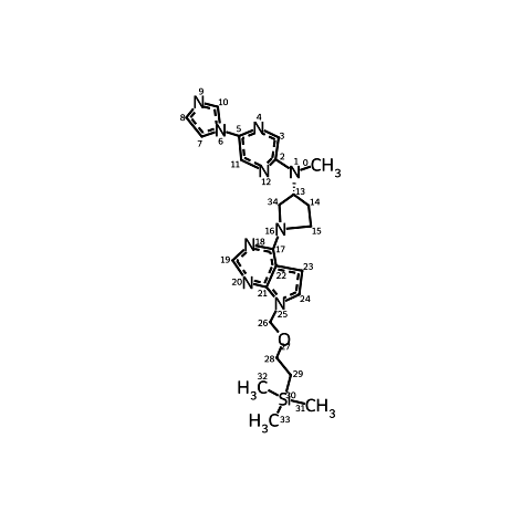 CN(c1cnc(-n2ccnc2)cn1)[C@@H]1CCN(c2ncnc3c2ccn3COCC[Si](C)(C)C)C1